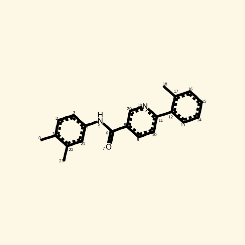 Cc1ccc(NC(=O)c2ccc(-c3ccccc3C)nc2)cc1C